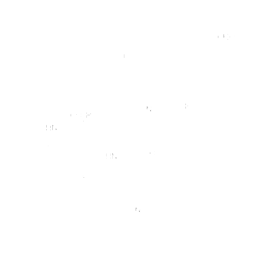 C[C@@H]1C[C@H](NC(=O)O)C[C@H](c2ccncc2NC(=O)c2ccc(F)c(-c3c(F)cc(C=O)cc3F)n2)C1